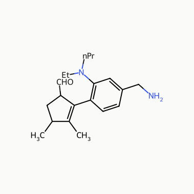 CCCN(CC)c1cc(CN)ccc1C1=C(C)C(C)CC1C=O